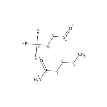 CCCCC(N)=O.O=[S+]CCC(F)(F)F